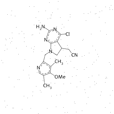 COc1c(C)cnc(CN2CC(CC#N)c3c(Cl)nc(N)nc32)c1C